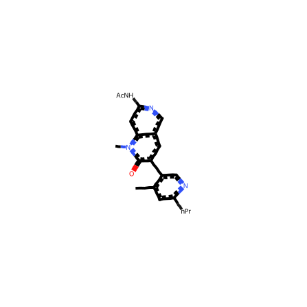 CCCc1cc(C)c(-c2cc3cnc(NC(C)=O)cc3n(C)c2=O)cn1